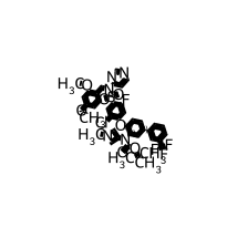 COc1ccc(CN(c2ccncn2)S(=O)(=O)c2cc(Cl)c(O[C@H]3CC[C@H](c4cccc(C(F)(F)F)c4)C[C@@H]3N(C(=O)OC(C)(C)C)C3CN(C)C3)cc2F)c(OC)c1